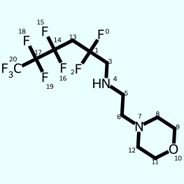 FC(F)(CNCCN1CCOCC1)CC(F)(F)C(F)(F)C(F)(F)F